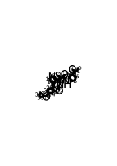 C=CC(=O)N1CCC[C@@H](NC(=O)c2sc3nccc4c3c2NC(=O)N4c2ccc(OC3CCC3)cc2C)C1